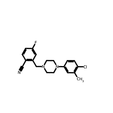 Cc1cc(N2CCN(Cc3cc(F)ccc3C#N)CC2)ccc1Cl